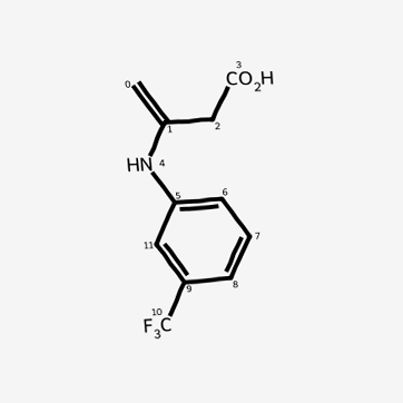 C=C(CC(=O)O)Nc1cccc(C(F)(F)F)c1